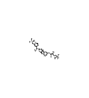 O=C(CCC(F)(F)F)NCc1cnn2cc(CNC(=O)c3ccnc(CC(F)(F)F)c3)nc2c1